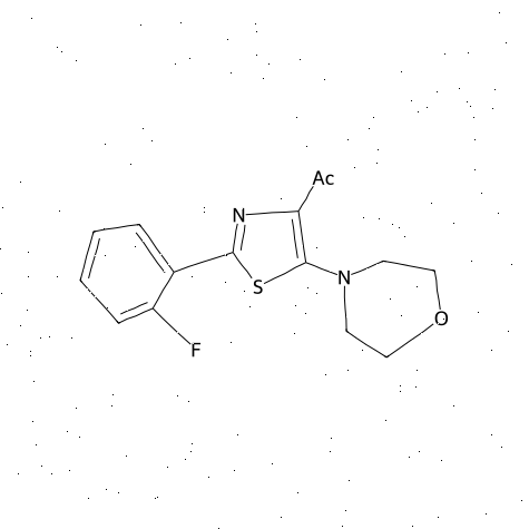 CC(=O)c1nc(-c2ccccc2F)sc1N1CCOCC1